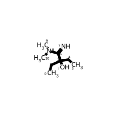 CCC(O)(CC)C(=N)N(C)C